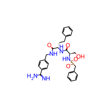 N=C(N)c1ccc(CNC(=O)[C@H](CCc2ccccc2)NC(=O)[C@@H](CO)NS(=O)(=O)Cc2ccccc2)cc1